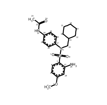 COc1ccc(S(=O)(=O)N(CC2CCCCC2)c2ccc(NC(C)=O)cc2)c(N)c1